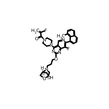 C=C(F)C(=O)N1CCN(c2nc(OCCCN3C[C@@H]4C[C@H]3CO4)nc3c(F)c(-c4cccc5cccc(C)c45)ncc23)CC1